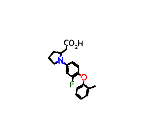 Cc1ccccc1Oc1ccc(N2CCCC2CC(=O)O)cc1F